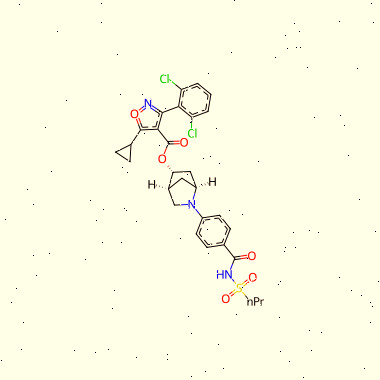 CCCS(=O)(=O)NC(=O)c1ccc(N2C[C@@H]3C[C@H]2C[C@H]3OC(=O)c2c(-c3c(Cl)cccc3Cl)noc2C2CC2)cc1